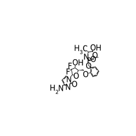 C[C@H](/N=[P+](\[O-])Oc1ccccc1OC[C@H]1O[C@@H](n2ccc(N)nc2=O)C(F)(F)[C@H]1O)C(=O)O